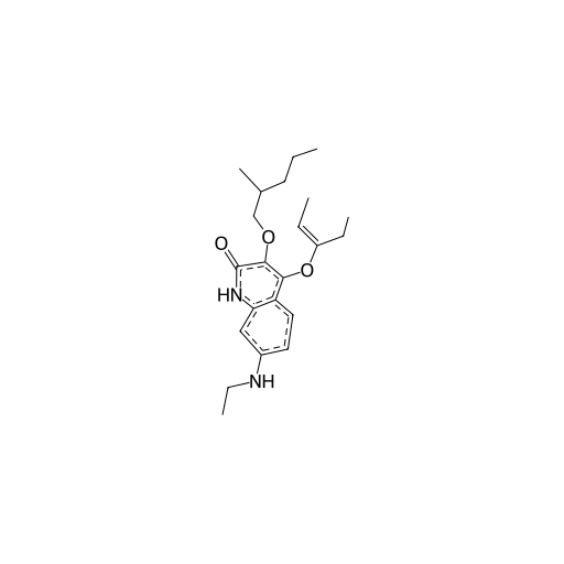 CC=C(CC)Oc1c(OCC(C)CCC)c(=O)[nH]c2cc(NCC)ccc12